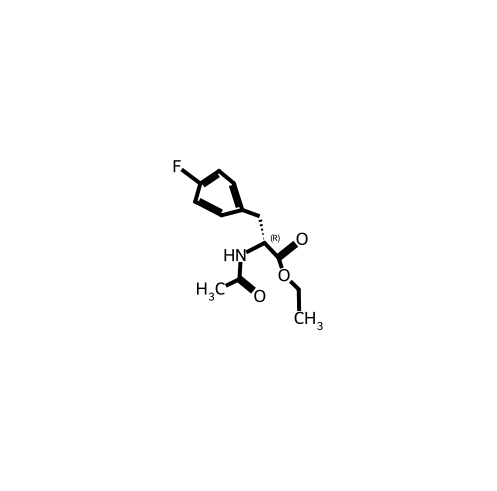 CCOC(=O)[C@@H](Cc1ccc(F)cc1)NC(C)=O